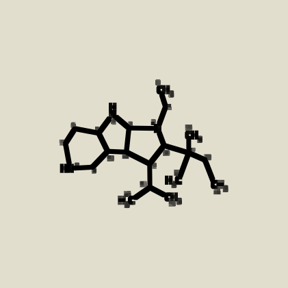 CCN1C2NC3CCNCC3C2C(C(C)C)C1C(C)(C)CC